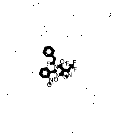 O=c1c2c(C(F)(F)F)noc2nc(-c2ccccc2[N+](=O)[O-])n1C(F)Cc1ccccc1